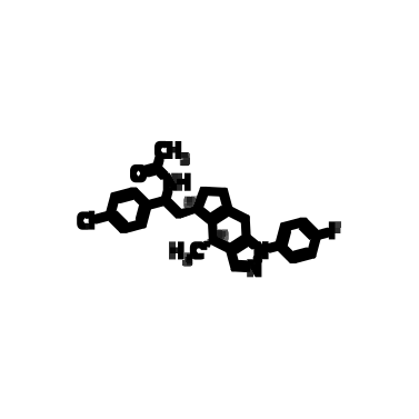 CC(=O)NC(C[C@H]1CCC2=C1[C@@H](C)c1cnn(-c3ccc(F)cc3)c1C2)c1ccc(Cl)cc1